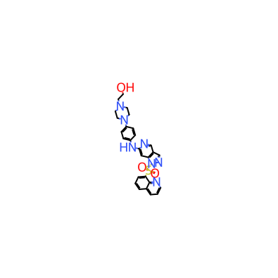 O=S(=O)(c1cccc2cccnc12)n1ncc2cnc(Nc3ccc(N4CCN(CCO)CC4)cc3)cc21